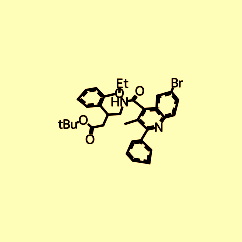 CCOc1ccccc1C(CNC(=O)c1c(C)c(-c2ccccc2)nc2ccc(Br)cc12)CC(=O)OC(C)(C)C